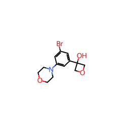 OC1(c2cc(Br)cc(N3CCOCC3)c2)COC1